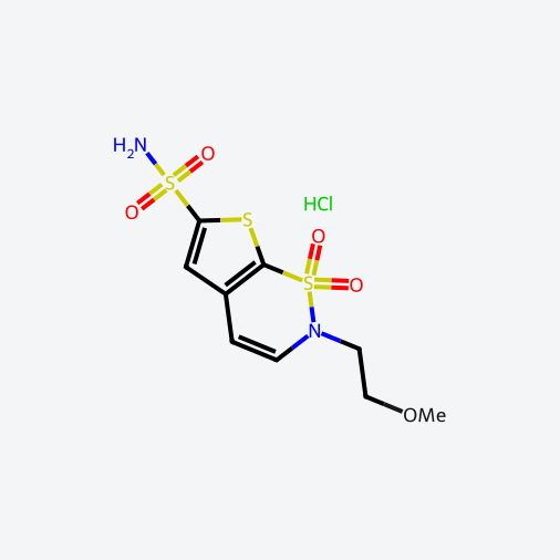 COCCN1C=Cc2cc(S(N)(=O)=O)sc2S1(=O)=O.Cl